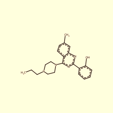 CCCN1CCN(c2nc(-c3ccccc3O)nc3cc(C)ccc23)CC1